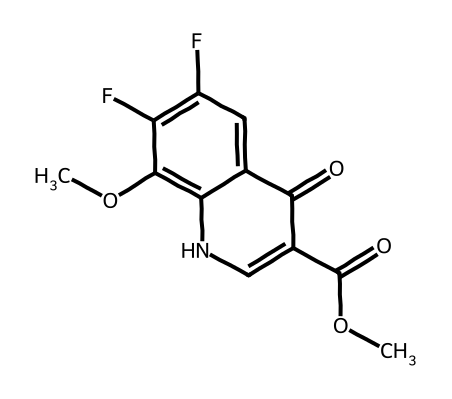 COC(=O)c1c[nH]c2c(OC)c(F)c(F)cc2c1=O